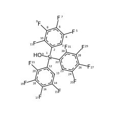 O[Si](c1cc(F)c(F)c(F)c1F)(c1cc(F)c(F)c(F)c1F)c1cc(F)c(F)c(F)c1F